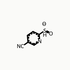 N#Cc1ccc([SH](=O)=O)nc1